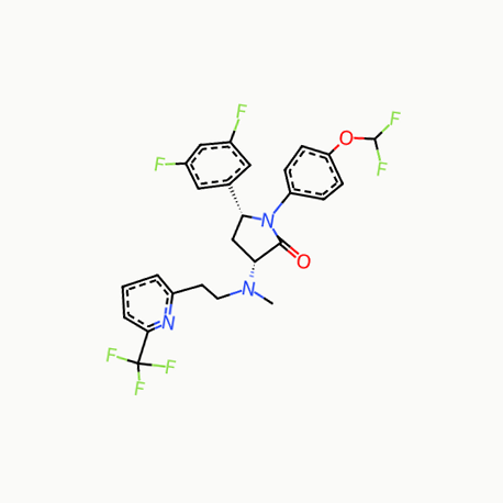 CN(CCc1cccc(C(F)(F)F)n1)[C@@H]1C[C@H](c2cc(F)cc(F)c2)N(c2ccc(OC(F)F)cc2)C1=O